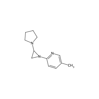 Cc1ccc(N2CC2N2CCCC2)nc1